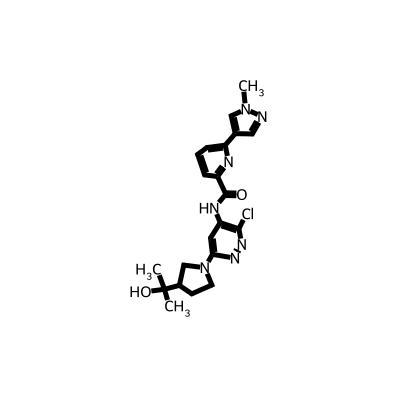 Cn1cc(-c2cccc(C(=O)Nc3cc(N4CCC(C(C)(C)O)C4)nnc3Cl)n2)cn1